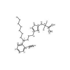 CCCCCCCN(CCCc1csc(SC(C)(C)C(=O)O)n1)c1ncccc1C#N